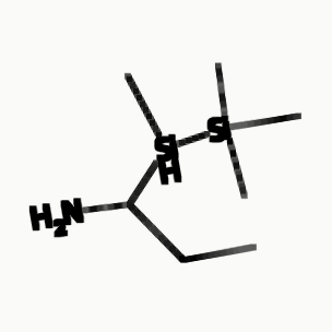 CCC(N)[SiH](C)[Si](C)(C)C